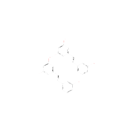 Oc1cccc(C=Cc2cc(O)cc(O)c2)c1.Oc1cccc(C=Cc2cc(O)cc(O)c2)c1